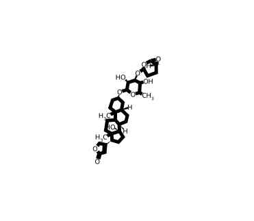 CC1OC(O[C@H]2CCC3(C)C4CCC5(C)[C@@H](C6=CC(=O)OC6)CC[C@]5(O)[C@@H]4CC[C@H]3C2)[C@@H](O)[C@@H](OC2CC[C@H]3OC3O2)C1O